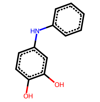 Oc1ccc(Nc2ccccc2)cc1O